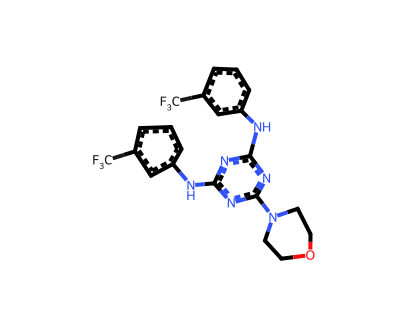 FC(F)(F)c1cccc(Nc2nc(Nc3cccc(C(F)(F)F)c3)nc(N3CCOCC3)n2)c1